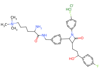 C[N+](C)(C)CCCCC(N)C(=O)NCc1ccc(C2C(CCC(O)c3ccc(F)cc3)C(=O)N2c2ccc(F)cc2)cc1.Cl.[Cl-]